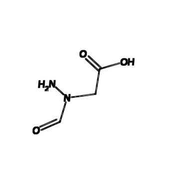 NN(C=O)CC(=O)O